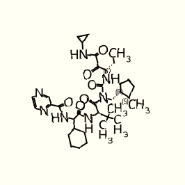 CC[C@H](NC(=O)N(C[C@@H]1CCC[C@@H]1C)C(=O)C(NC(=O)C(NC(=O)c1cnccn1)C1CCCCC1)C(C)(C)C)C(=O)C(=O)NC1CC1